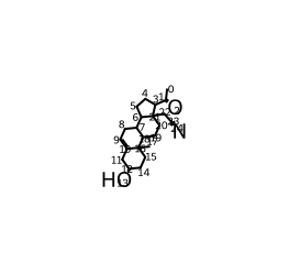 CC(=O)C1CCC2C3CC=C4CC(O)CCC4(C)C3CCC12CC#N